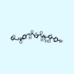 C/C(=N\NC(=O)c1ccc(C(=O)NCc2ccc(C(=O)NCc3ccco3)cc2)s1)c1csc(-c2ccc(Br)cc2)c1O